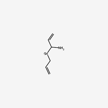 C=C[CH2][Sn][CH](N)C=C